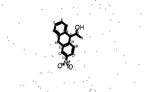 CC(O)C1c2ccccc2Cc2cc([N+](=O)[O-])ccc21